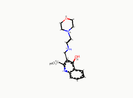 O=C(O)c1nc2ccccc2c(O)c1CNCCN1CCOCC1